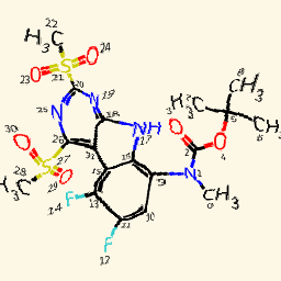 CN(C(=O)OC(C)(C)C)c1cc(F)c(F)c2c1[nH]c1nc(S(C)(=O)=O)nc(S(C)(=O)=O)c12